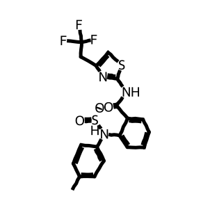 Cc1ccc(N(c2ccccc2C(=O)Nc2nc(CC(F)(F)F)cs2)[SH](=O)=O)cc1